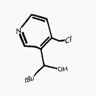 CC(C)(C)C(O)c1cnccc1Cl